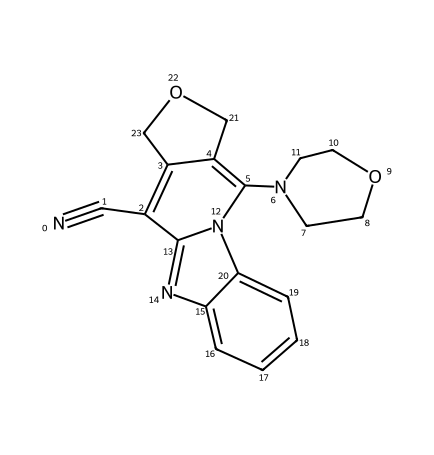 N#Cc1c2c(c(N3CCOCC3)n3c1nc1ccccc13)COC2